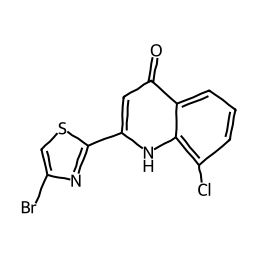 O=c1cc(-c2nc(Br)cs2)[nH]c2c(Cl)cccc12